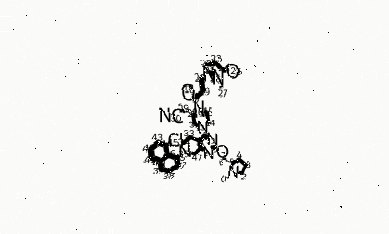 CN1CCC[C@H]1COc1nc2c(c(N3CCN(C(=O)/C=C/n4ccc(=O)n4C)[C@@H](CC#N)C3)n1)CCN(c1cccc3cccc(Cl)c13)C2